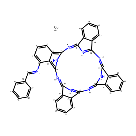 C(=Nc1cccc2c3nc4nc(nc5[nH]c(nc6nc(nc([nH]3)c12)-c1ccccc1-6)c1ccccc51)-c1ccccc1-4)c1ccccc1.[Cu]